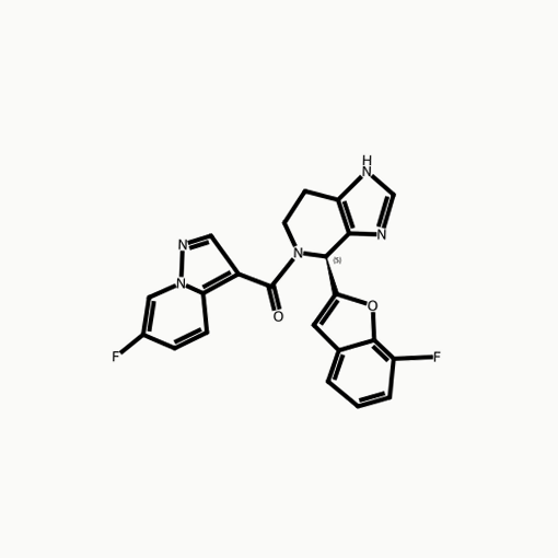 O=C(c1cnn2cc(F)ccc12)N1CCc2[nH]cnc2[C@H]1c1cc2cccc(F)c2o1